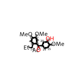 CCC(C(C)=O)c1cc(OC)c(OC)cc1C(=O)c1ccc(OC)c(O)c1